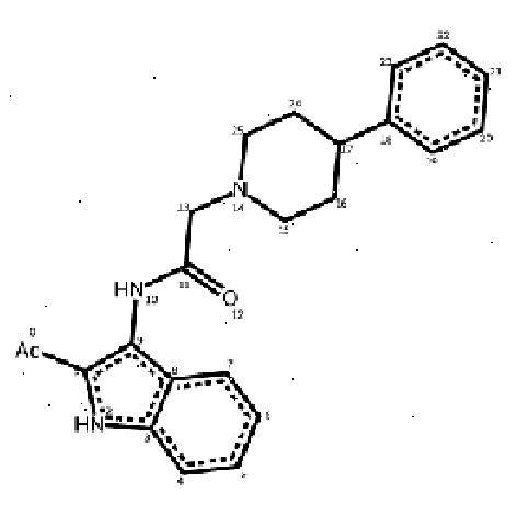 CC(=O)c1[nH]c2ccccc2c1NC(=O)CN1CCC(c2ccccc2)CC1